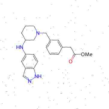 COC(=O)Cc1cccc(CN2CCCC(Nc3ccc4[nH]ncc4c3)C2)c1